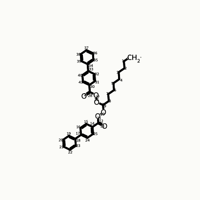 [CH2]CCCCCCCC[C](OOC(=O)c1ccc(-c2ccccc2)cc1)OOC(=O)c1ccc(-c2ccccc2)cc1